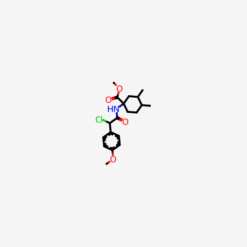 COC(=O)C1(NC(=O)C(Cl)c2ccc(OC)cc2)CCC(C)C(C)C1